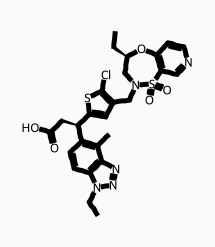 CC[C@@H]1CN(Cc2cc([C@H](CC(=O)O)c3ccc4c(nnn4CC)c3C)sc2Cl)S(=O)(=O)c2cnccc2O1